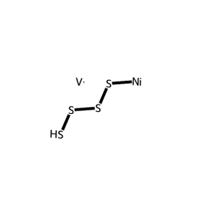 SSS[S][Ni].[V]